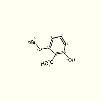 CCCCOc1cccc(O)c1C(=O)O